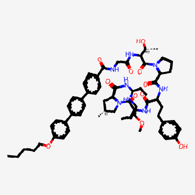 CCCCCOc1ccc(-c2ccc(-c3ccc(C(=O)NCC(=O)NC(C(=O)N4CCCC4C(=O)NC(CCc4ccc(O)cc4)C(=O)NC(CC)C(=O)N4C[C@H](C)CC4C(=O)NC(CC)NCCOC)[C@@H](C)O)cc3)cc2)cc1